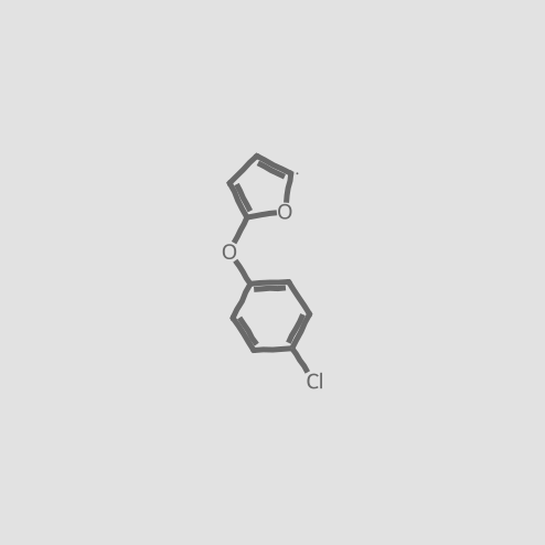 Clc1ccc(Oc2cc[c]o2)cc1